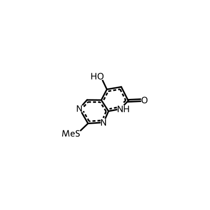 CSc1ncc2c(O)cc(=O)[nH]c2n1